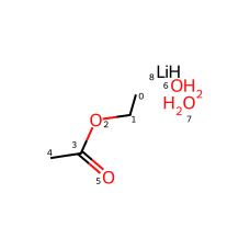 CCOC(C)=O.O.O.[LiH]